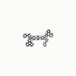 c1ccc(-c2cccc(N(c3ccc(-c4ccc(-c5ccc(N(c6cccc(-c7ccccc7)c6)c6ccc7c8ccccc8c8ccccc8c7c6)cc5)cc4)cc3)c3ccc4c5ccccc5c5ccccc5c4c3)c2)cc1